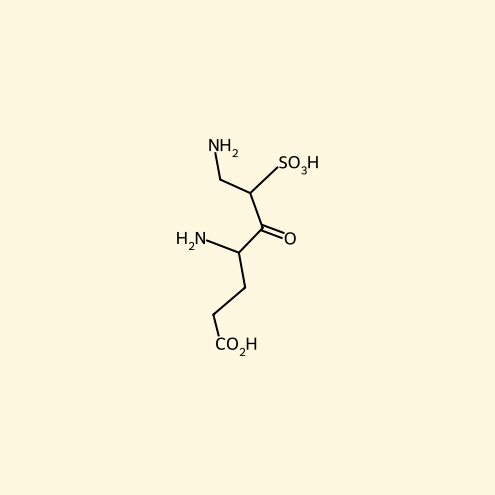 NCC(C(=O)C(N)CCC(=O)O)S(=O)(=O)O